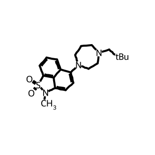 CN1c2ccc(N3CCCN(CC(C)(C)C)CC3)c3cccc(c23)S1(=O)=O